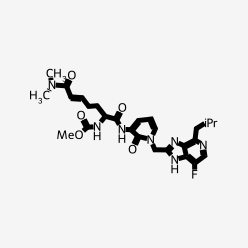 COC(=O)NC(CC/C=C/C(=O)N(C)C)C(=O)Nc1cccn(Cc2nc3c(CC(C)C)ncc(F)c3[nH]2)c1=O